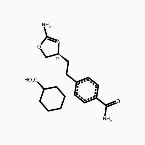 NC(=O)c1ccc(CC[C@H]2COC(N)=N2)cc1.O=C(O)C1CCCCC1